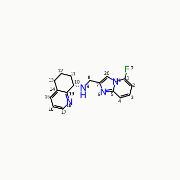 Fc1cccc2nc(CN[C@H]3CCCc4cccnc43)cn12